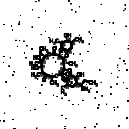 CC[C@H]1OC(=O)[C@H](C)[C@@H](O[C@H]2C[C@H](C)[C@@H](O)[C@H](C)O2)[C@H](C)[C@@H](O[C@@H]2O[C@H](C)C[C@H](N(C)CC)[C@H]2O)[C@](C)(OC)C[C@@H](C)C(=O)[C@H](C)[C@@H](O)[C@]1(C)O